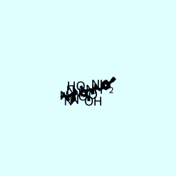 C#Cc1ccc(CC(N)C(=O)NC2C(CO)OC(n3cnc4c(N(C)C)ncnc43)C2O)cc1